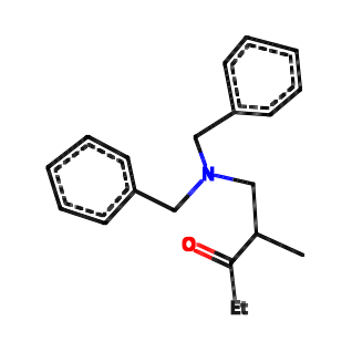 CCC(=O)C(C)CN(Cc1ccccc1)Cc1ccccc1